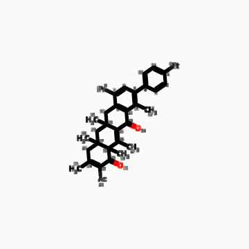 CCc1ccc(-c2cc(C(C)C)c3c(c2C)C(=O)C2=C(C)C4(C)C(=O)C(C(C)=O)=C(C)CC4(C)CC2(C)C3)cc1